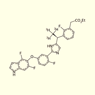 [2H]C([2H])([2H])[C@H](c1cnc(-c2cc(Oc3c(F)cc4[nH]ccc4c3F)ccc2F)[nH]1)c1cccc(CC(=O)OCC)c1F